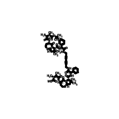 C[C@@H](C(=O)N[C@H]1CCS[C@H]2CC(C)(C)[C@@H](C(=O)N[C@H](C(=O)NCC#CC#CCNC(=O)[C@@H](NC(=O)[C@H]3N4C(=O)[C@@H](NC(=S)[C@H](C)N(C)C(=O)OC(C)(C)C)CCS[C@H]4CC3(C)C)c3ccccc3)c3ccccc3)N2C1=O)N(C)C(=O)O